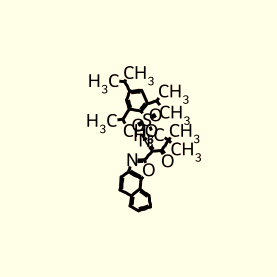 CC(C)c1cc(C(C)C)c(S(=O)(=O)O/N=C(\C(=O)C(C)(C)C)c2nc3ccc4ccccc4c3o2)c(C(C)C)c1